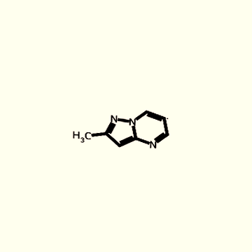 Cc1cc2nc[c]cn2n1